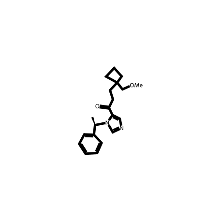 COCC1(CCC(=O)c2cncn2[C@H](C)c2ccccc2)CCC1